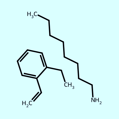 C=Cc1ccccc1CC.CCCCCCCCN